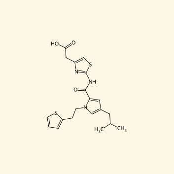 CC(C)Cc1cc(C(=O)Nc2nc(CC(=O)O)cs2)n(CCc2cccs2)c1